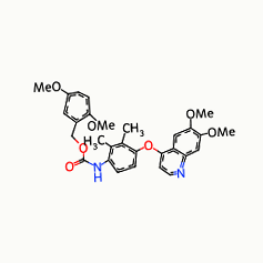 COc1ccc(OC)c(COC(=O)Nc2ccc(Oc3ccnc4cc(OC)c(OC)cc34)c(C)c2C)c1